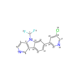 FC(F)n1c2ccncc2c2ccc(-c3cncc(Cl)c3)cc21